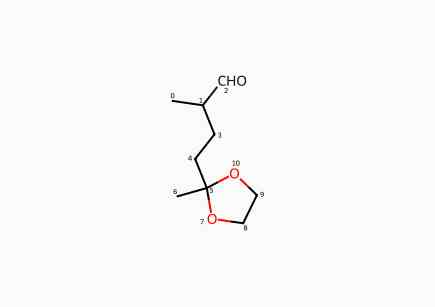 CC(C=O)CCC1(C)OCCO1